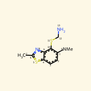 CNc1ccc2sc(C)nc2c1SCN